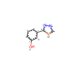 Oc1cccc(-c2nncs2)c1